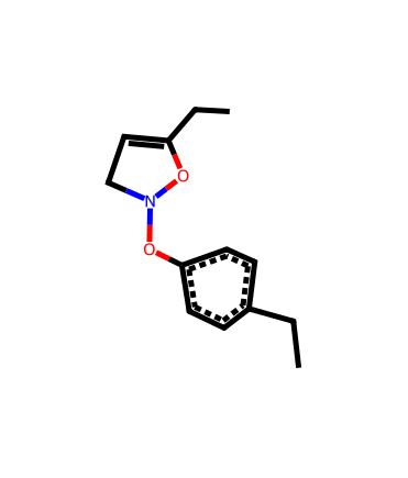 CCC1=CCN(Oc2ccc(CC)cc2)O1